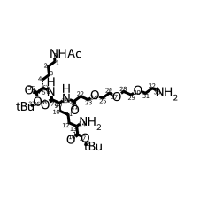 CC(=O)NCCCC[C@H](NC(=O)[C@H](CCCC(N)C(=O)OC(C)(C)C)NC(=O)CCOCCOCCOCCN)C(=O)OC(C)(C)C